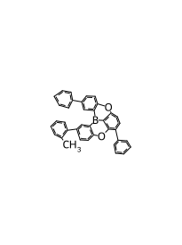 Cc1ccccc1-c1ccc2c(c1)B1c3cc(-c4ccccc4)ccc3Oc3ccc(-c4ccccc4)c(c31)O2